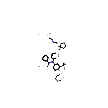 CN(C)C(=O)/C=C/CNC1(COc2ccc(/C(=C(/CC(F)(F)F)c3ccccc3)c3ccc(NC4CCCCO4)c(C(=N)F)c3)cn2)CCCC1